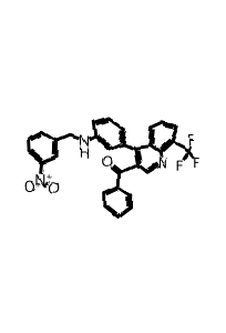 O=C(c1ccccc1)c1cnc2c(C(F)(F)F)cccc2c1-c1cccc(NCc2cccc([N+](=O)[O-])c2)c1